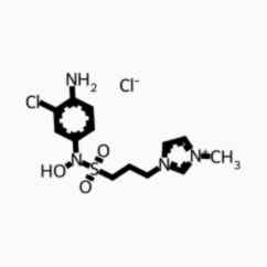 C[n+]1ccn(CCCS(=O)(=O)N(O)c2ccc(N)c(Cl)c2)c1.[Cl-]